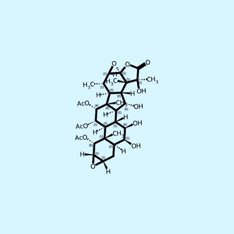 CC(=O)O[C@H]1[C@H]2[C@@H]([C@@H](O)[C@@H](O)[C@H]3C[C@@H]4O[C@@H]4[C@H](OC(C)=O)[C@]23C)[C@@H]2[C@@H](O)[C@@H]3[C@H]([C@H](C)[C@@H]4O[C@@]45OC(=O)[C@@](C)(O)[C@]35C)[C@@]2(C)[C@H]1OC(C)=O